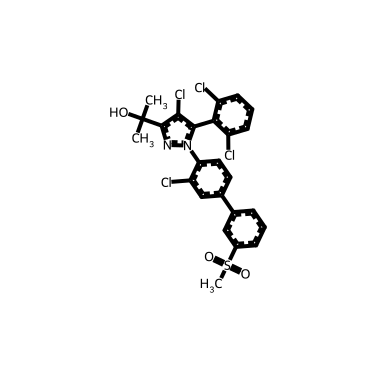 CC(C)(O)c1nn(-c2ccc(-c3cccc(S(C)(=O)=O)c3)cc2Cl)c(-c2c(Cl)cccc2Cl)c1Cl